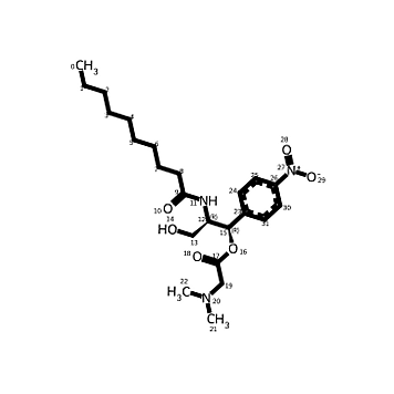 CCCCCCCCCC(=O)N[C@H](CO)[C@H](OC(=O)CN(C)C)c1ccc([N+](=O)[O-])cc1